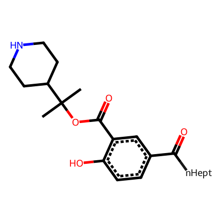 CCCCCCCC(=O)c1ccc(O)c(C(=O)OC(C)(C)C2CCNCC2)c1